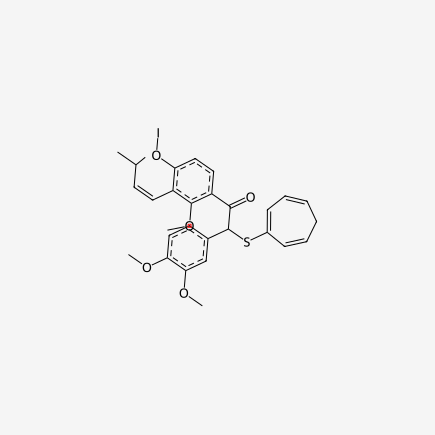 COc1ccc(C(SC2=CC=CCC=C2)C(=O)c2ccc(OI)c(/C=C\C(C)C)c2OC)cc1OC